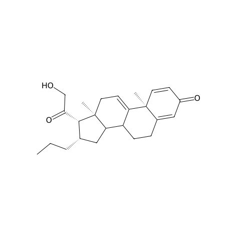 CCC[C@H]1CC2C3CCC4=CC(=O)C=C[C@]4(C)C3=CC[C@]2(C)[C@H]1C(=O)CO